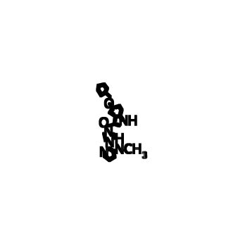 CCNc1cccnc1N1CCN(C(=O)c2c[nH]c3ccc(OCc4ccccc4)cc23)CC1